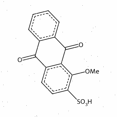 COc1c(S(=O)(=O)O)ccc2c1C(=O)c1ccccc1C2=O